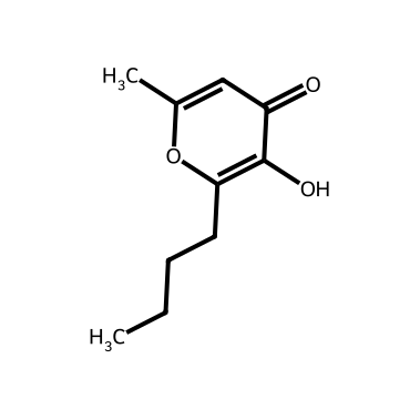 CCCCc1oc(C)cc(=O)c1O